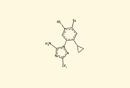 CCc1cc(C2CC2)c(-n2nc(C(F)(F)F)nc2N)cc1S